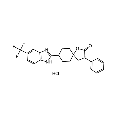 Cl.O=C1OC2(CCC(c3nc4cc(C(F)(F)F)ccc4[nH]3)CC2)CN1c1ccccc1